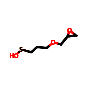 OSCCCOCC1CO1